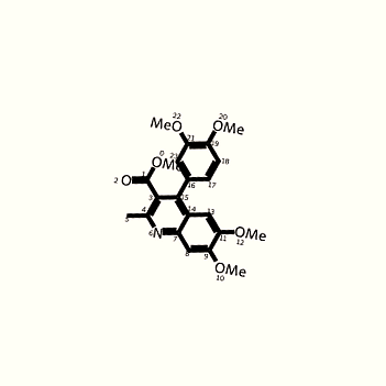 COC(=O)c1c(C)nc2cc(OC)c(OC)cc2c1-c1ccc(OC)c(OC)c1